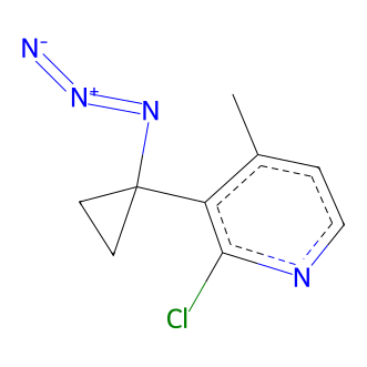 Cc1ccnc(Cl)c1C1(N=[N+]=[N-])CC1